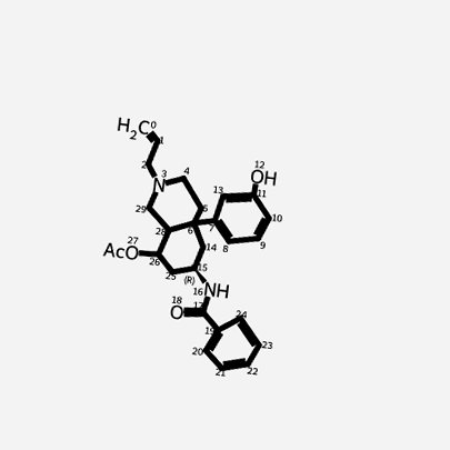 C=CCN1CCC2(c3cccc(O)c3)C[C@@H](NC(=O)c3ccccc3)CC(OC(C)=O)C2C1